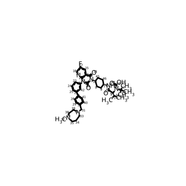 CC(C)[C@@H](C(=O)N[C@H]1CC[C@@H](n2c(=O)c3cc(F)cnc3n(-c3cccc(-c4ccc(CN5CCCN(C)CC5)cc4)c3)c2=O)CC1)N(C(=O)O)C(C)(C)C